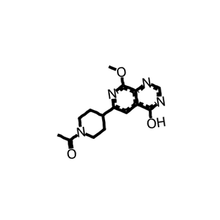 COc1nc(C2CCN(C(C)=O)CC2)cc2c(O)ncnc12